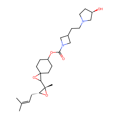 CC(C)=CC[C@H]1O[C@@]1(C)C1OC12CCC(OC(=O)N1CC(CCN3CC[C@@H](O)C3)C1)CC2